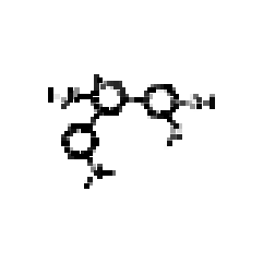 COc1cc(-c2cnc(N)c(-c3cccc(N(C)C)c3)c2)ccc1O